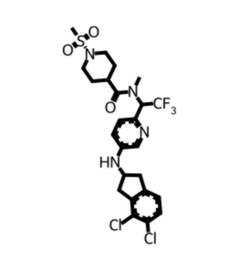 CN(C(=O)C1CCN(S(C)(=O)=O)CC1)C(c1ccc(NC2Cc3ccc(Cl)c(Cl)c3C2)cn1)C(F)(F)F